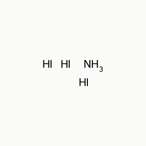 I.I.I.N